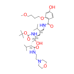 COCCCCOc1cc(O)ccc1C(=O)NC[C@@H](C[C@H](NC(=O)OC(C)(C)C)[C@@H](O)C[C@H](C(=O)NCCN1CCOCC1)C(C)C)C(C)C